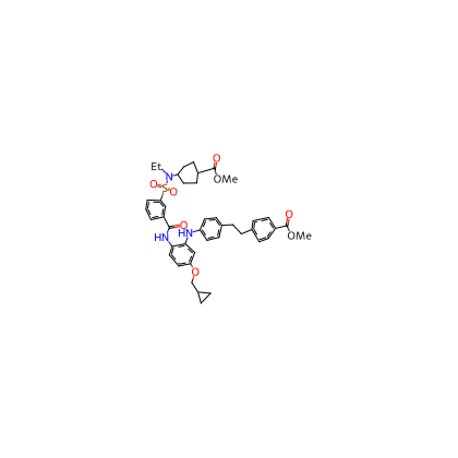 CCN(C1CCC(C(=O)OC)CC1)S(=O)(=O)c1cccc(C(=O)Nc2ccc(OCC3CC3)cc2Nc2ccc(CCc3ccc(C(=O)OC)cc3)cc2)c1